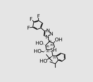 CC(C)c1ccccc1[C@H]([SH]1C[C@H](O)[C@H](n2cc(-c3cc(F)c(F)c(F)c3)nn2)[C@@H](O)[C@H]1CO)C(C)(C)O